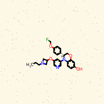 CCCN1CC(Oc2cncc(N3c4ccc(O)cc4OC[C@H]3c3ccc(OCF)cc3)c2)C1